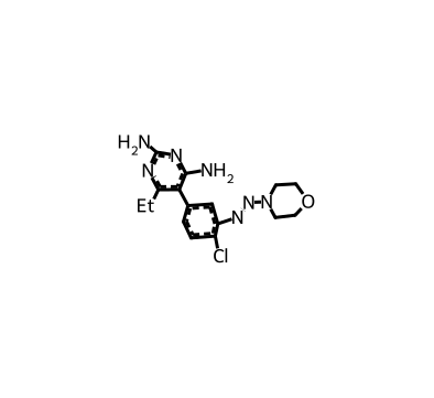 CCc1nc(N)nc(N)c1-c1ccc(Cl)c(N=NN2CCOCC2)c1